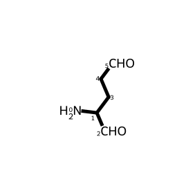 NC(C=O)CCC=O